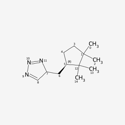 CC1(C)CC[C@H](CC2C=NN=N2)C1(C)C